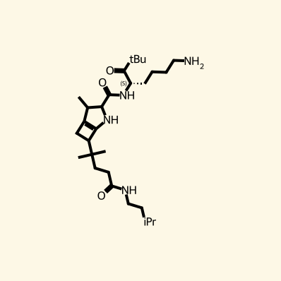 CC(C)CCNC(=O)CCC(C)(C)C1CC2=C1NC(C(=O)N[C@@H](CCCCN)C(=O)C(C)(C)C)C2C